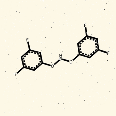 Fc1cc(F)cc(OBOc2cc(F)cc(F)c2)c1